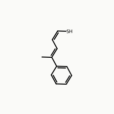 C/C(=C\C=C/S)c1ccccc1